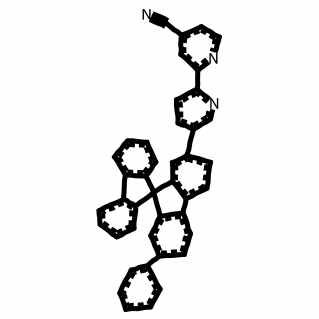 N#Cc1ccnc(-c2ccc(-c3ccc4c(c3)C3(c5ccccc5-c5ccccc53)c3cc(-c5ccccc5)ccc3-4)cn2)c1